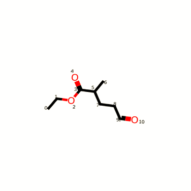 CCOC(=O)C(C)CC[C]=O